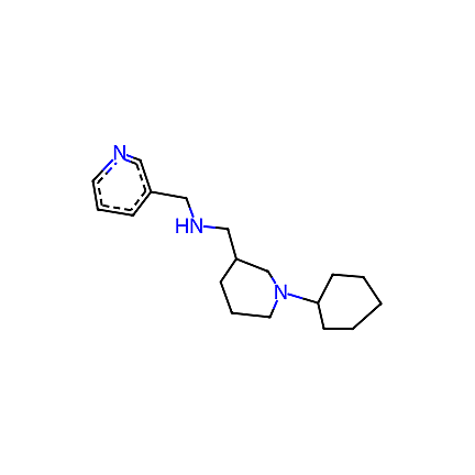 c1cncc(CNCC2CCCN(C3CCCCC3)C2)c1